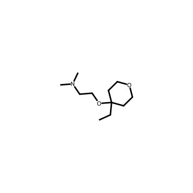 CCC1(OCCN(C)C)CCOCC1